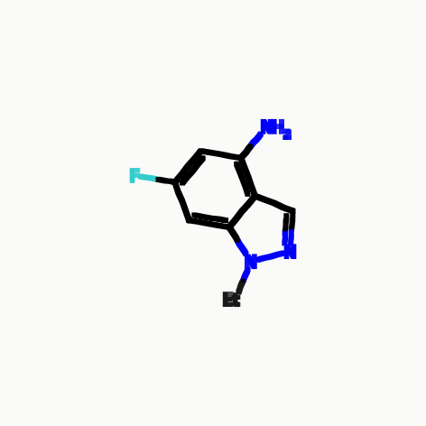 CCn1ncc2c(N)cc(F)cc21